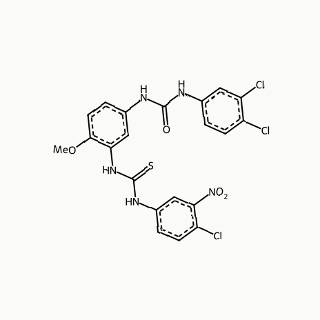 COc1ccc(NC(=O)Nc2ccc(Cl)c(Cl)c2)cc1NC(=S)Nc1ccc(Cl)c([N+](=O)[O-])c1